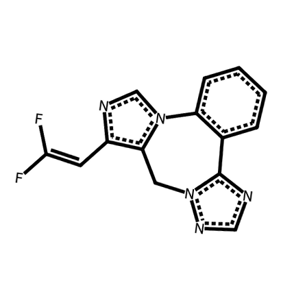 FC(F)=Cc1ncn2c1Cn1ncnc1-c1ccccc1-2